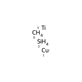 C.[Cu].[SiH4].[Ti]